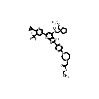 CCOC(=O)CN1CCCN(c2cnc(-c3nc4nc(-c5cnc(C6CC6)c(C(F)(F)F)c5)cc(N(C)CC5(COC)CCCC5)c4[nH]3)cn2)CC1